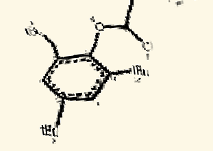 CC(C)(C)c1cc(C(C)(C)C)c(OC(Cl)[CH2][AlH2])c(C(C)(C)C)c1